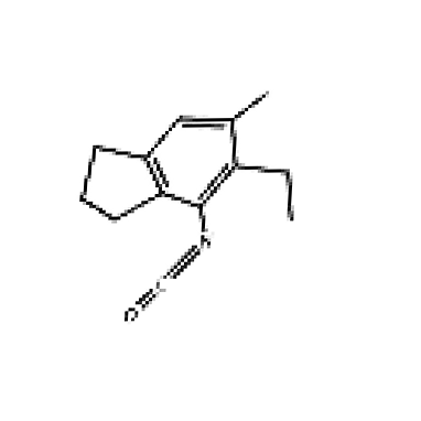 CCc1c(C)cc2c(c1N=C=O)CCC2